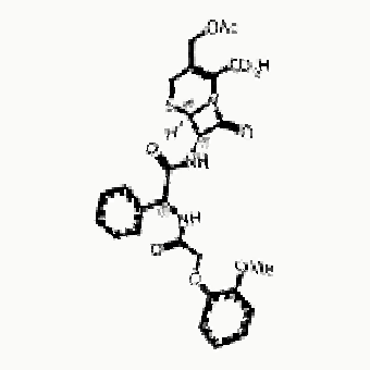 COc1ccccc1OCC(=O)N[C@H](C(=O)N[C@@H]1C(=O)N2C(C(=O)O)=C(COC(C)=O)CS[C@H]12)c1ccccc1